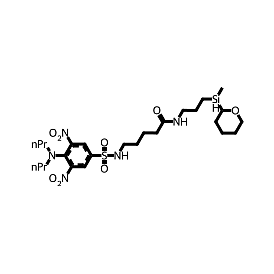 CCCN(CCC)c1c([N+](=O)[O-])cc(S(=O)(=O)NCCCCC(=O)NCCC[SiH](C)C2CCCCO2)cc1[N+](=O)[O-]